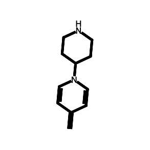 C=C1C=CN(C2CCNCC2)C=C1